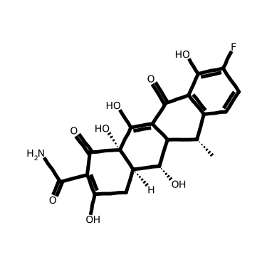 C[C@H]1c2ccc(F)c(O)c2C(=O)C2=C(O)[C@]3(O)C(=O)C(C(N)=O)=C(O)C[C@@H]3[C@@H](O)C21